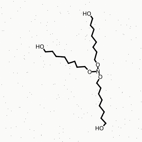 OCCCCCCCCON(OCCCCCCCCO)OCCCCCCCCO